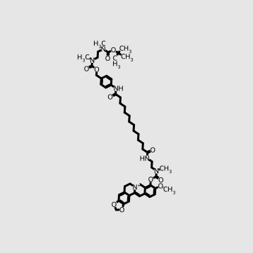 COc1ccc2cc3[n+](cc2c1OC(=O)N(C)CCNC(=O)CCCCCCCCCCCCC(=O)Nc1ccc(COC(=O)N(C)CCN(C)C(=O)OC(C)(C)C)cc1)CCc1cc2c(cc1-3)OCO2